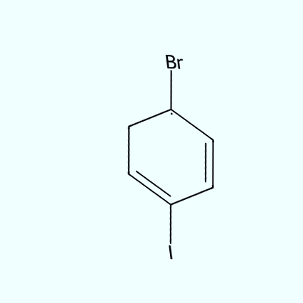 Br[C]1C=CC(I)=CC1